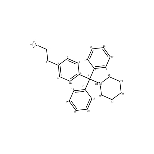 NCCc1ccc(C(c2ccccc2)(c2ccccc2)N2CCCCC2)cc1